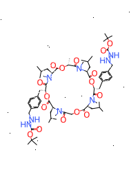 CC(C)C[C@H]1C(=O)O[C@H](Cc2ccc(CNNC(=O)OC(C)(C)C)cc2)C(=O)N(C)[C@@H](CC(C)C)C(=O)O[C@H](C)C(=O)N(C)[C@@H](CC(C)C)C(=O)O[C@H](Cc2ccc(CNNC(=O)OC(C)(C)C)cc2)C(=O)N(C)[C@@H](CC(C)C)C(=O)OCC(=O)N1C